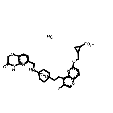 Cl.O=C1COc2ccc(CNC34CCC(CCc5c(F)cnc6ccc(OCC7CC7C(=O)O)nc56)(CC3)OC4)nc2N1